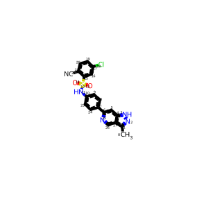 Cc1n[nH]c2cc(-c3ccc(NS(=O)(=O)c4cc(Cl)ccc4C#N)cc3)ncc12